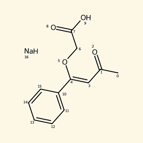 CC(=O)C=C(OCC(=O)O)c1ccccc1.[NaH]